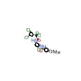 COc1ccc(C(=O)Nc2cc(NC(=O)[C@H]3[C@H](c4cc(Cl)cc(Cl)c4)C3(Cl)Cl)ccc2Cl)cc1